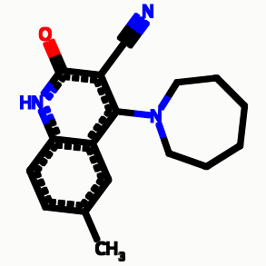 Cc1ccc2[nH]c(=O)c(C#N)c(N3CCCCCC3)c2c1